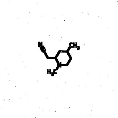 CC1CCN(C)C(CC#N)C1